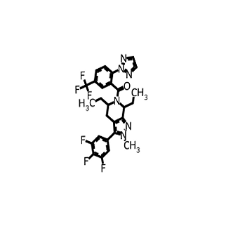 CCC1Cc2c(nn(C)c2-c2cc(F)c(F)c(F)c2)C(CC)N1C(=O)c1cc(C(F)(F)F)ccc1-n1nccn1